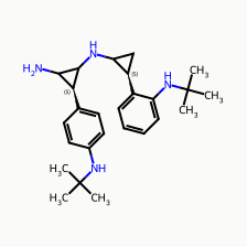 CC(C)(C)Nc1ccc([C@H]2C(N)C2NC2C[C@H]2c2ccccc2NC(C)(C)C)cc1